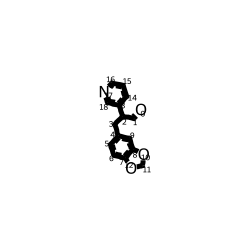 O=CC(Cc1ccc2c(c1)OCO2)c1cccnc1